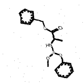 COP(NC(C)C(=O)OCc1ccccc1)Oc1ccccc1